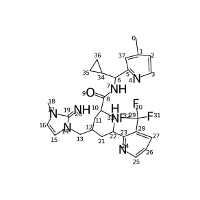 Cc1ccnc(C(NC(=O)C2CC(Cn3ccn(C)c3=N)CC(c3ncccc3C(F)(F)F)N2)C2CC2)c1